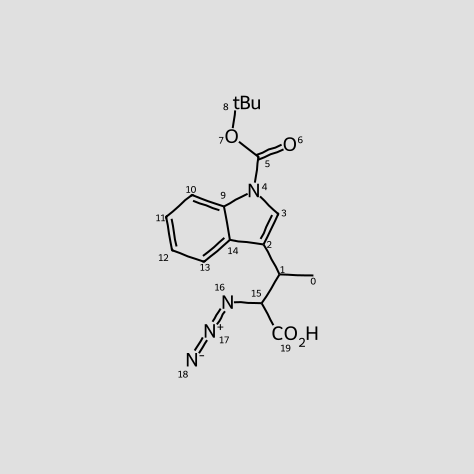 CC(c1cn(C(=O)OC(C)(C)C)c2ccccc12)C(N=[N+]=[N-])C(=O)O